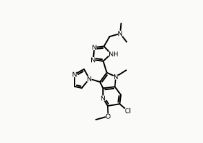 COc1nc2c(-n3ccnc3)c(-c3nnc(CN(C)C)[nH]3)n(C)c2cc1Cl